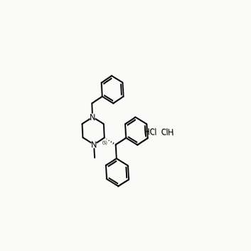 CN1CCN(Cc2ccccc2)C[C@@H]1C(c1ccccc1)c1ccccc1.Cl.Cl